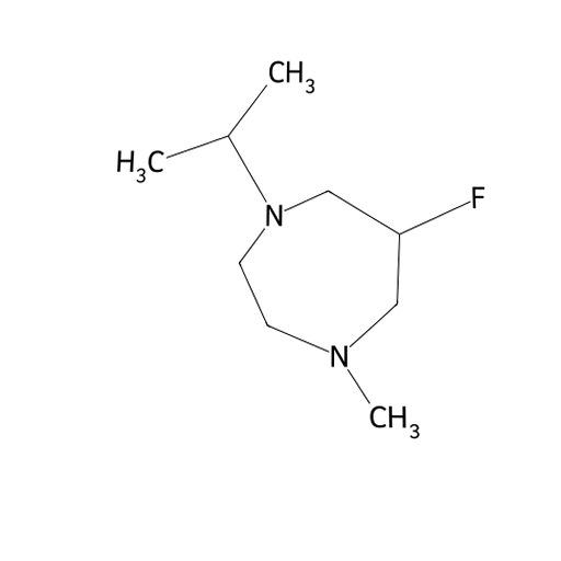 CC(C)N1CCN(C)CC(F)C1